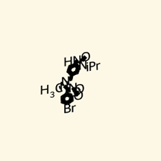 CC(C)n1c(=O)[nH]c2ccc(/C=N/N(C)C3=NS(=O)(=O)c4cc(Br)ccc43)cc21